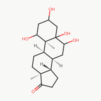 C[C@]12CC[C@@H]3[C@@H](CC(O)C4(O)CC(O)CC(O)[C@]34C)[C@@H]1CCC2=O